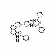 c1ccc(C2=NC(c3ccccc3)NC(c3ccc(-c4ccc5ccc6ccc7c(c6c5c4)OC(c4ccccc4)N7)cc3)N2)cc1